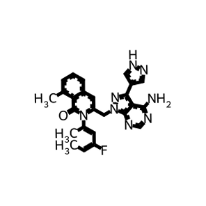 C/C=C(F)\C=C(/C)n1c(Cn2nc(-c3cn[nH]c3)c3c(N)ncnc32)cc2cccc(C)c2c1=O